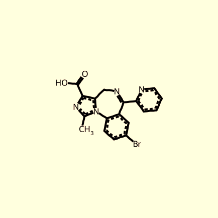 Cc1nc(C(=O)O)c2n1-c1ccc(Br)cc1C(c1ccccn1)=NC2